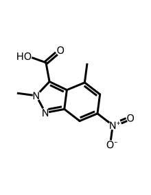 Cc1cc([N+](=O)[O-])cc2nn(C)c(C(=O)O)c12